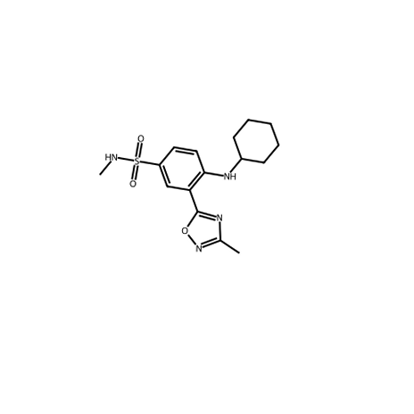 CNS(=O)(=O)c1ccc(NC2CCCCC2)c(-c2nc(C)no2)c1